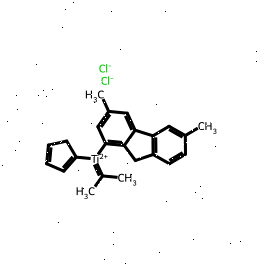 C[C](C)=[Ti+2]([C]1=CC=CC1)[c]1cc(C)cc2c1Cc1ccc(C)cc1-2.[Cl-].[Cl-]